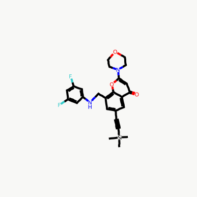 C[Si](C)(C)C#Cc1cc(CNc2cc(F)cc(F)c2)c2oc(N3CCOCC3)cc(=O)c2c1